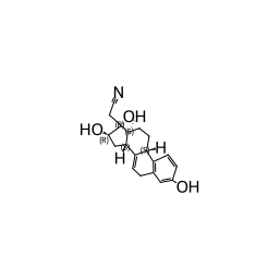 C[C@]12CC[C@H]3C(=CCc4cc(O)ccc43)[C@@H]1C[C@@H](O)[C@@]2(O)CC#N